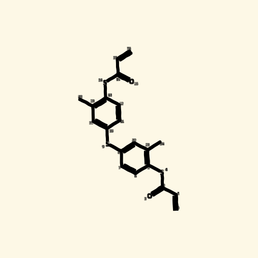 C=CC(=O)Sc1ccc(Sc2ccc(SC(=O)C=C)c(C)c2)cc1C